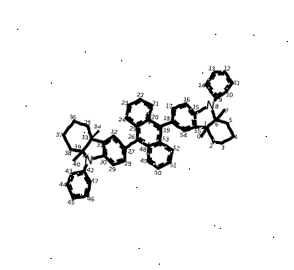 CC12CCCCC1(C)N(c1ccccc1)c1ccc(-c3c4ccccc4c(-c4ccc5c(c4)[C@@]4(C)CCCCC4(C)N5c4ccccc4)c4ccccc34)cc12